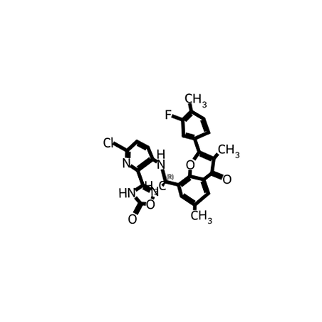 Cc1cc([C@@H](C)Nc2ccc(Cl)nc2-c2noc(=O)[nH]2)c2oc(-c3ccc(C)c(F)c3)c(C)c(=O)c2c1